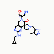 Cc1cn[nH]c1CN1CCC2(C1)C(=O)N(/C(C=N)=C/O)Cc1cnc(NCC3CC3)nc12